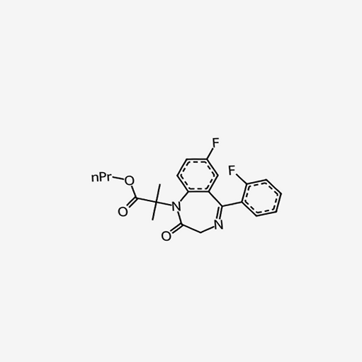 CCCOC(=O)C(C)(C)N1C(=O)CN=C(c2ccccc2F)c2cc(F)ccc21